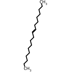 CCCCCCC/C=C/CCCCCCCCC